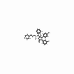 O=C1CC(Sc2ccccc2)(C(=O)NCCCN2CCOCC2)C(c2ccc(Cl)cc2)N1c1cccc(Cl)c1